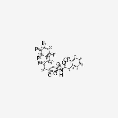 O=C(Cc1ccccc1Cl)NS(=O)(=O)c1cc(-c2c(F)cc(F)c(F)c2F)c(F)cc1Cl